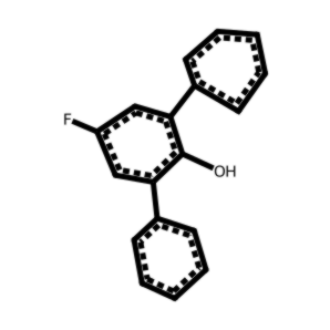 Oc1c(-c2ccccc2)cc(F)cc1-c1ccccc1